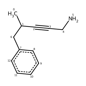 CC(C#CCN)Cc1ccccc1